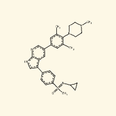 Cc1cc(-c2cnc3[nH]cc(-c4ccc(S(C)(=O)=NC5CC5)cc4)c3c2)cc(C)c1N1CCN(C)CC1